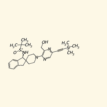 CC(C)(C)[S+]([O-])N[C@@H]1c2ccccc2CC12CCN(c1ncc(C#C[Si](C)(C)C)nc1CO)CC2